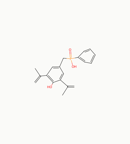 C=C(C)c1cc(CP(=O)(O)c2ccccc2)cc(C(=C)C)c1O